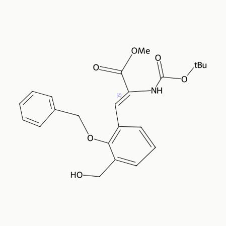 COC(=O)/C(=C/c1cccc(CO)c1OCc1ccccc1)NC(=O)OC(C)(C)C